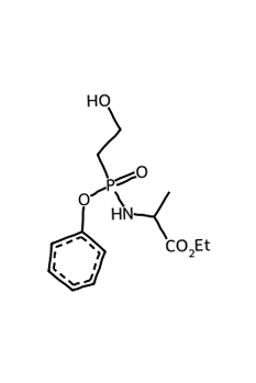 CCOC(=O)C(C)NP(=O)(CCO)Oc1ccccc1